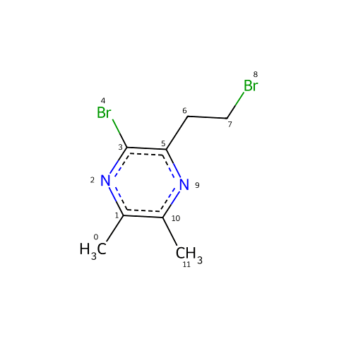 Cc1nc(Br)c(CCBr)nc1C